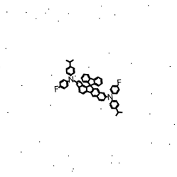 CC(C)c1ccc(N(c2ccc(F)cc2)c2ccc3cc4c(cc3c2)C2(c3ccccc3-c3ccccc32)c2c-4ccc3cc(N(c4ccc(F)cc4)c4ccc(C(C)C)cc4)ccc23)cc1